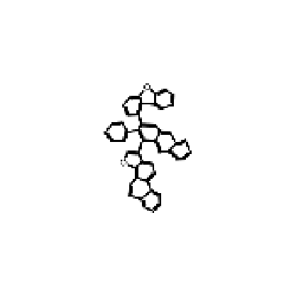 c1ccc(-c2c(-c3cccc4oc5ccccc5c34)cc3cc4ccccc4cc3c2-c2coc3c2ccc2c4ccccc4ccc23)cc1